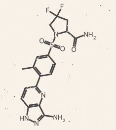 Cc1cc(S(=O)(=O)N2CC(F)(F)CC2C(N)=O)ccc1-c1ccc2[nH]nc(N)c2n1